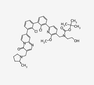 COc1nc(-c2cccc(-c3cccc(-c4ccn5c(=O)c(CN6CCC[C@@H]6C)cnc5c4)c3Cl)c2Cl)ccc1CN(CCO)C(=O)OC(C)(C)C